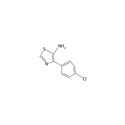 Nc1s[c]nc1-c1ccc(Cl)cc1